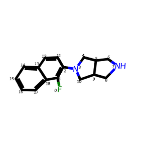 Fc1c(N2CC3CNCC3C2)ccc2ccccc12